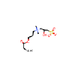 CCCCCCCCCCCC(=O)OCCC[N+](C)(C)CC(O)CS(=O)(=O)[O-]